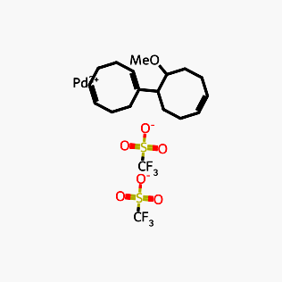 COC1CC/C=C\CCC1/C1=C/CC/C=C\CC1.O=S(=O)([O-])C(F)(F)F.O=S(=O)([O-])C(F)(F)F.[Pd+2]